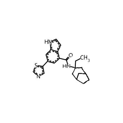 CCC1(NC(=O)c2cc(-c3cncs3)cc3[nH]ccc23)CC2CCC(C2)C1